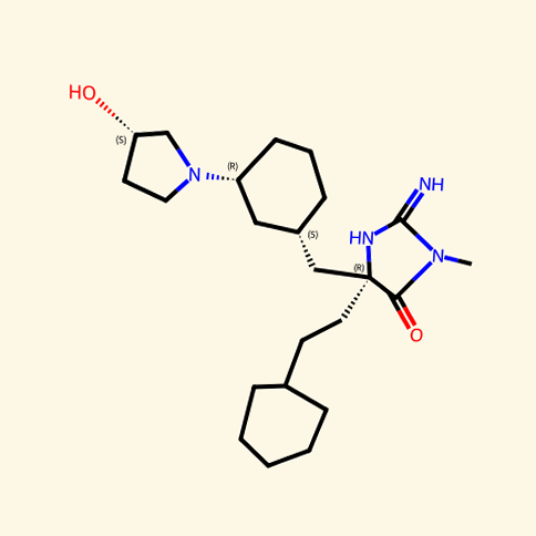 CN1C(=N)N[C@](CCC2CCCCC2)(C[C@H]2CCC[C@@H](N3CC[C@H](O)C3)C2)C1=O